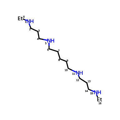 CCNCCCNCCCCCNCCCNCC